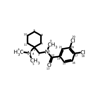 CN(CC1(N(C)C)CCCCC1)C(=O)c1ccc(Cl)c(Cl)c1